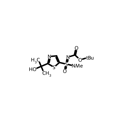 CNS(=O)(=NC(=O)OC(C)(C)C)c1cnc(C(C)(C)O)s1